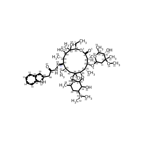 CC[C@H]1OC(=O)[C@H](C)[C@@H](OC2C[C@@](C)(OC)[C@@H](O)[C@H](C)O2)[C@H](C)[C@@H](OC2OC(C)CC(N(C)C)C2O)[C@](C)(OC)C[C@@H](C)/C(=N\NC(=O)Cc2cc3ccccc3[nH]2)[C@H](C)[C@@H](O)[C@]1(C)O